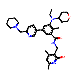 CCN(c1cc(-c2ccc(CN3CCCCC3)nc2)cc(C(=O)NCc2c(C)cc(C)[nH]c2=O)c1C)C1CCOCC1